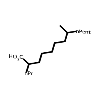 CCCCCC(C)CCCCCC(CCC)C(=O)O